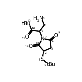 CC(C)(C)S[C@@H]1CC(=O)N(C(CN)C(=O)C(C)(C)C)C1=O